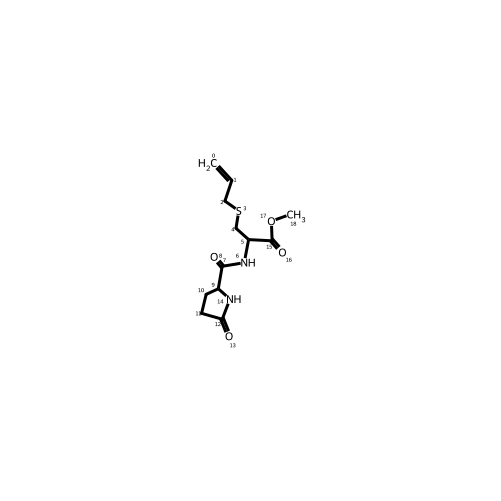 C=CCSCC(NC(=O)C1CCC(=O)N1)C(=O)OC